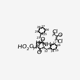 O=C(CCl)CCl.O=C(O)CNC(=O)[C@H](Cc1ccccc1)NC(=O)OCc1ccccc1